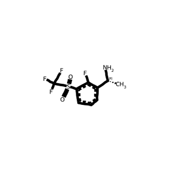 C[C@@H](N)c1cccc(S(=O)(=O)C(F)(F)F)c1F